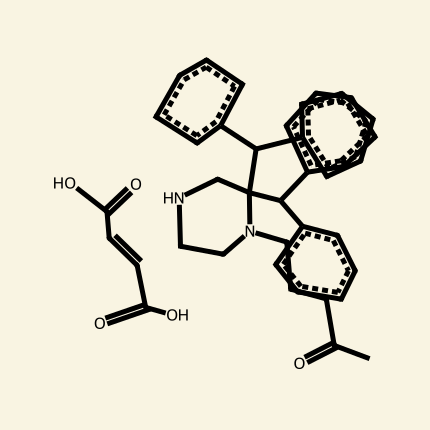 CC(=O)CCCN1CCNCC1(C(c1ccccc1)c1ccccc1)C(c1ccccc1)c1ccccc1.O=C(O)C=CC(=O)O